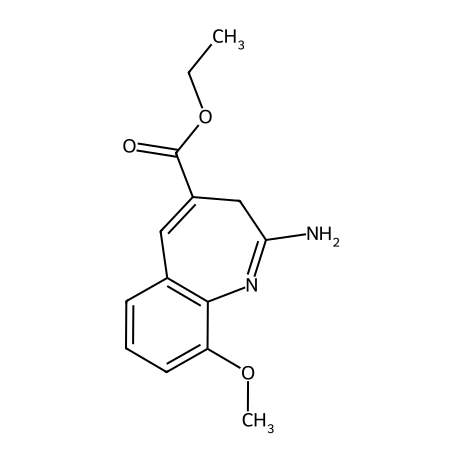 CCOC(=O)C1=Cc2cccc(OC)c2N=C(N)C1